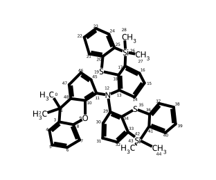 CC1(C)c2ccccc2Oc2c(N(c3cccc4c3Sc3ccccc3[Si]4(C)C)c3cccc4c3Sc3ccccc3[Si]4(C)C)cccc21